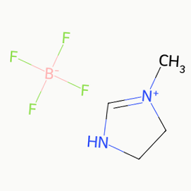 C[N+]1=CNCC1.F[B-](F)(F)F